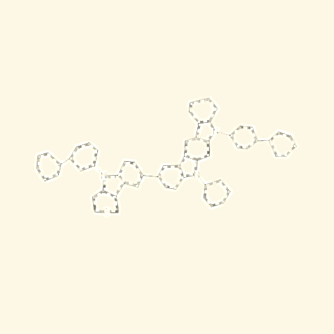 c1ccc(-c2ccc(-n3c4ccccc4c4cc5c6cc(-c7ccc8c(c7)c7ccccc7n8-c7cccc(-c8ccccc8)c7)ccc6n(-c6ccccc6)c5cc43)cc2)cc1